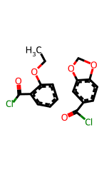 CCOc1ccccc1C(=O)Cl.O=C(Cl)c1ccc2c(c1)OCO2